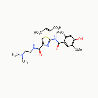 COc1cc(C(=O)Nc2nc(C(=O)NCCN(C)C)cs2)c(OC)cc1O.O=C(O)C=CC(=O)O